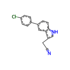 N#CCc1c[nH]c2ccc(-c3ccc(Cl)cc3)cc12